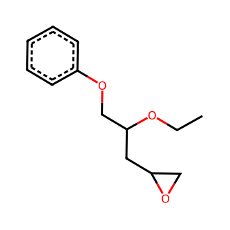 CCOC(COc1ccccc1)CC1CO1